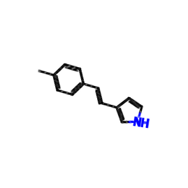 Cc1ccc(C=Cc2cc[nH]c2)cc1